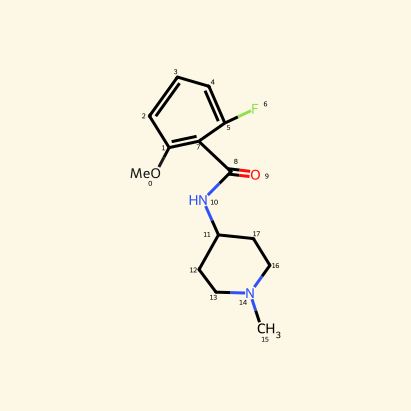 COc1cccc(F)c1C(=O)NC1CCN(C)CC1